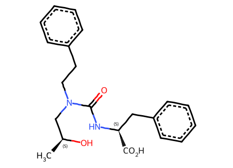 C[C@H](O)CN(CCc1ccccc1)C(=O)N[C@@H](Cc1ccccc1)C(=O)O